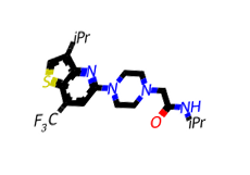 CC(C)NC(=O)CN1CCN(c2cc(C(F)(F)F)c3scc(C(C)C)c3n2)CC1